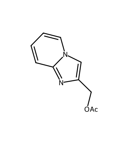 CC(=O)OCc1cn2ccccc2n1